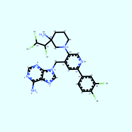 Nc1ncnc2c1ncn2Cc1cc(-c2ccc(F)c(F)c2)ncc1N1CCCC(N)(C(F)C(F)F)C1